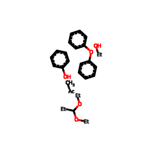 CC(C)=O.CCO.CCOC(CC)OCC.Oc1ccccc1.c1ccc(Oc2ccccc2)cc1